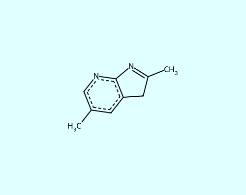 CC1=Nc2ncc(C)cc2C1